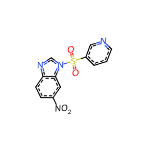 O=[N+]([O-])c1ccc2ncn(S(=O)(=O)c3cccnc3)c2c1